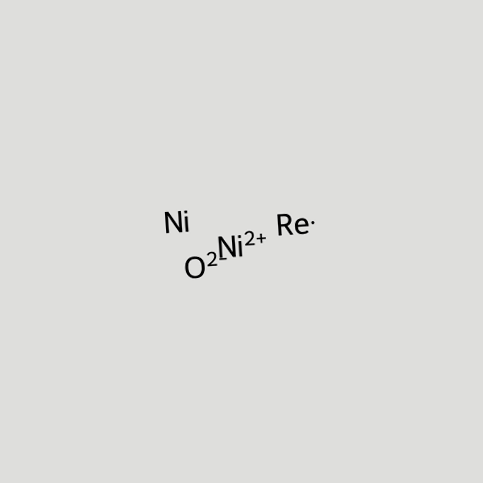 [Ni+2].[Ni].[O-2].[Re]